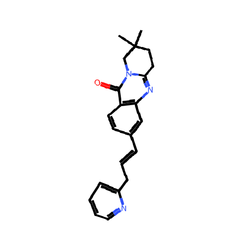 CC1(C)CCc2nc3cc(/C=C/Cc4ccccn4)ccc3c(=O)n2C1